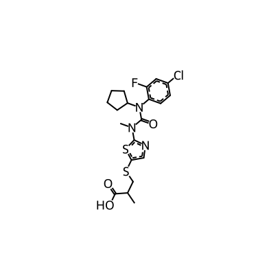 CC(CSc1cnc(N(C)C(=O)N(c2ccc(Cl)cc2F)C2CCCC2)s1)C(=O)O